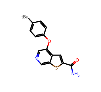 CC(C)(C)c1ccc(Oc2cncc3sc(C(N)=O)cc23)cc1